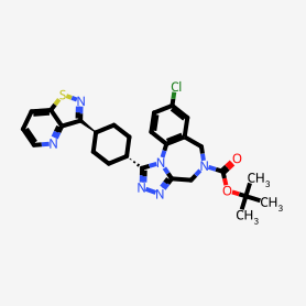 CC(C)(C)OC(=O)N1Cc2cc(Cl)ccc2-n2c(nnc2[C@H]2CC[C@H](c3nsc4cccnc43)CC2)C1